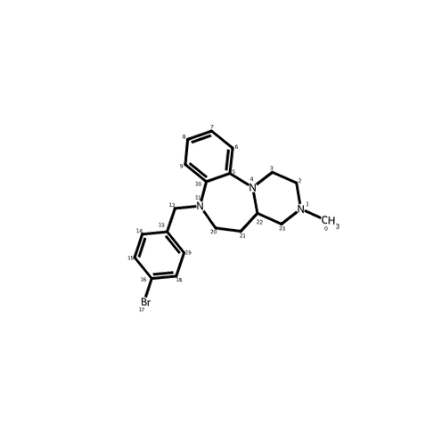 CN1CCN2c3ccccc3N(Cc3ccc(Br)cc3)CCC2C1